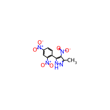 Cc1n[nH]c(-c2ccc([N+](=O)[O-])cc2[N+](=O)[O-])c1[N+](=O)[O-]